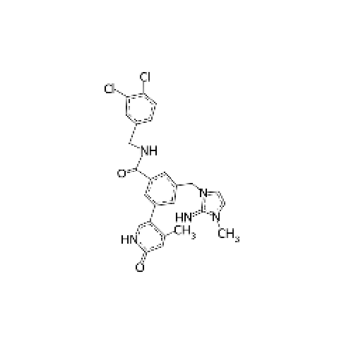 Cc1cc(=O)[nH]cc1-c1cc(Cn2ccn(C)c2=N)cc(C(=O)NCc2ccc(Cl)c(Cl)c2)c1